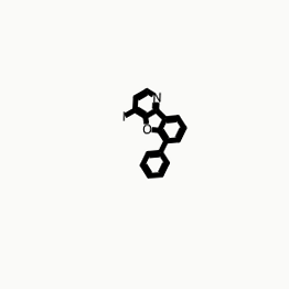 Ic1ccnc2c1oc1c(-c3ccccc3)cccc12